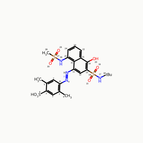 Cc1cc(S(=O)(=O)O)c(C)cc1/N=N/c1cc(S(=O)(=O)NC(C)(C)C)c(O)c2cccc(NS(C)(=O)=O)c12